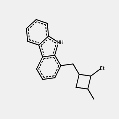 CCC1C(C)CC1Cc1cccc2c1[nH]c1ccccc12